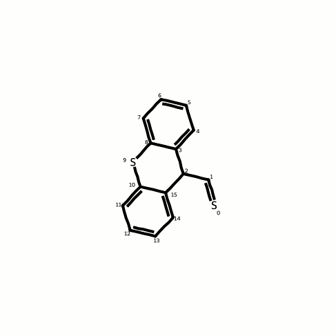 S=CC1c2ccccc2Sc2ccccc21